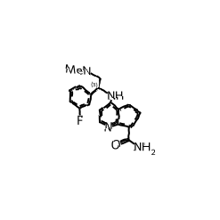 CNC[C@@H](Nc1ccnc2c(C(N)=O)cccc12)c1cccc(F)c1